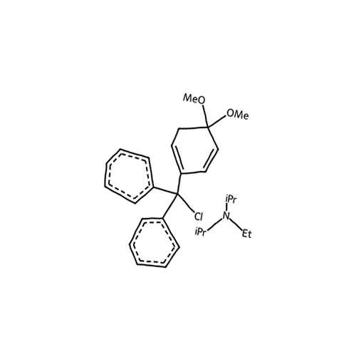 CCN(C(C)C)C(C)C.COC1(OC)C=CC(C(Cl)(c2ccccc2)c2ccccc2)=CC1